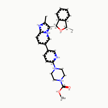 Cc1nc2ccc(-c3ccc(N4CCN(C(=O)OC(C)(C)C)CC4)nc3)cn2c1[C@H]1O[C@@H](C)c2ccccc21